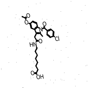 CC(=O)Oc1ccc2c(c1)c(CC(=O)NCCCCCCCC(=O)O)c(C)n2C(=O)c1ccc(Cl)cc1